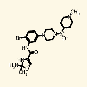 CN1CCC([S+]([O-])N2CCN(c3ccc(Br)c(NC(=O)C4=COC(C)(N)N4)c3)CC2)CC1